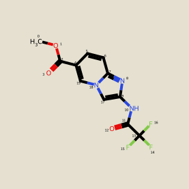 COC(=O)c1ccc2nc(NC(=O)C(F)(F)F)cn2c1